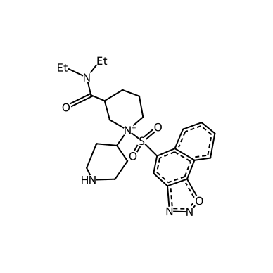 CCN(CC)C(=O)C1CCC[N+](C2CCNCC2)(S(=O)(=O)c2cc3nnoc3c3ccccc23)C1